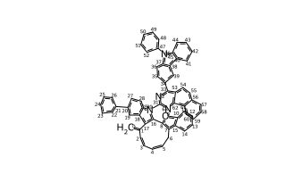 C=C1/C=C\C=C/Cc2c(oc3ccccc23)-c2c1c1cc(-c3ccccc3)ccc1n2-c1nc(-c2ccc3c(c2)c2ccccc2n3-c2ccccc2)c2ccc3ccccc3c2n1